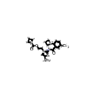 CC(C)(C)c1cn(CCOC(=O)N2CCC2)/c(=N/C(=O)c2cc(C(F)(F)F)ccc2N2CCC2)s1